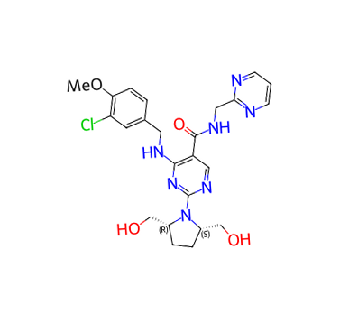 COc1ccc(CNc2nc(N3[C@H](CO)CC[C@@H]3CO)ncc2C(=O)NCc2ncccn2)cc1Cl